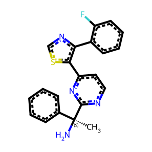 C[C@](N)(c1ccccc1)c1nccc(-c2scnc2-c2ccccc2F)n1